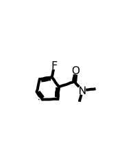 CN(C)C(=O)c1c[c]ccc1F